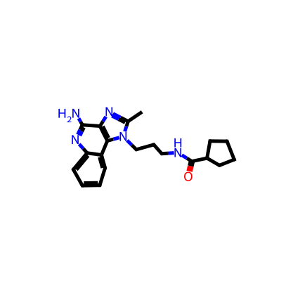 Cc1nc2c(N)nc3ccccc3c2n1CCCNC(=O)C1CCCC1